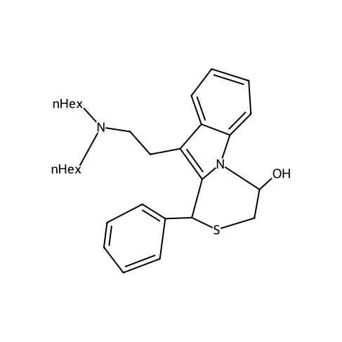 CCCCCCN(CCCCCC)CCc1c2n(c3ccccc13)C(O)CSC2c1ccccc1